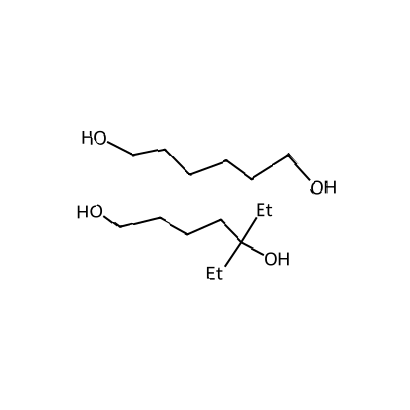 CCC(O)(CC)CCCCO.OCCCCCCO